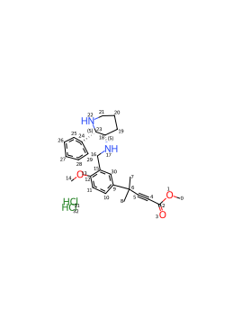 COC(=O)C#CC(C)(C)c1ccc(OC)c(CN[C@H]2CCCN[C@H]2c2ccccc2)c1.Cl.Cl